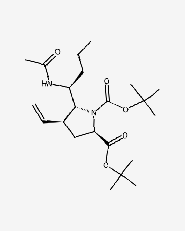 C=C[C@@H]1C[C@H](C(=O)OC(C)(C)C)N(C(=O)OC(C)(C)C)[C@H]1[C@H](CCC)NC(C)=O